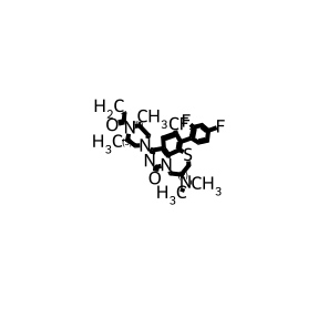 C=CC(=O)N1[C@H](C)CN(c2nc(=O)n3c4c(c(-c5ccc(F)cc5F)c(C(F)(F)F)cc24)SC[C@H](N(C)C)C3)C[C@@H]1C